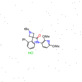 COc1ccc(NC(=O)C2(c3ccccc3C(C)C)CN(C(C)(C)C)C2)c(OC)n1.Cl